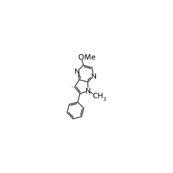 COc1cnc2c([c]c(-c3ccccc3)n2C)n1